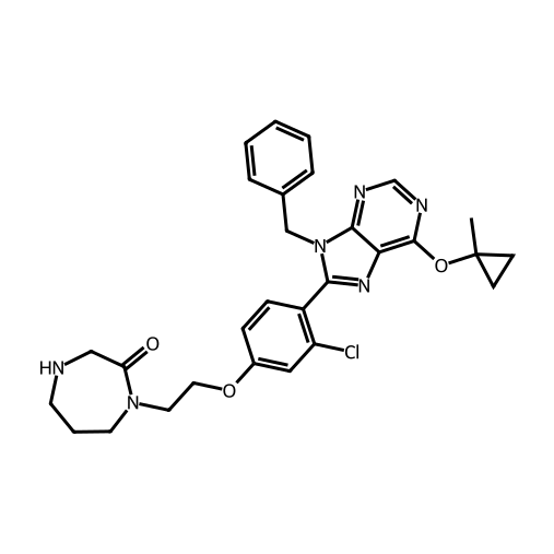 CC1(Oc2ncnc3c2nc(-c2ccc(OCCN4CCCNCC4=O)cc2Cl)n3Cc2ccccc2)CC1